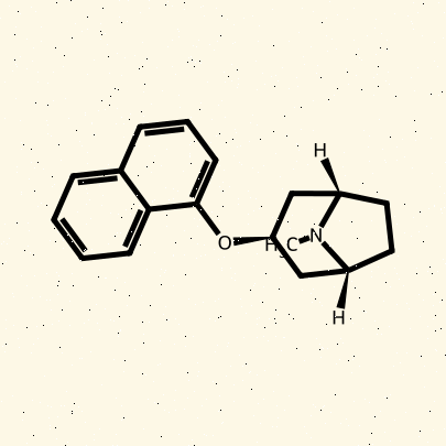 CN1[C@@H]2CC[C@H]1C[C@H](Oc1cccc3ccccc13)C2